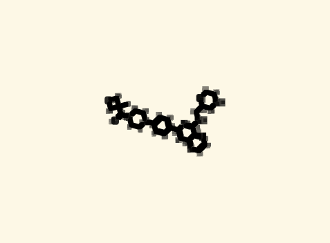 CC1(C(=O)N2CCN(c3ccc(-c4cc5nccnc5c(NCC5CNCCO5)n4)cc3)CC2)COC1